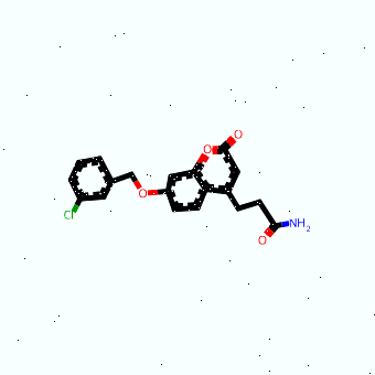 NC(=O)CCc1cc(=O)oc2cc(OCc3cccc(Cl)c3)ccc12